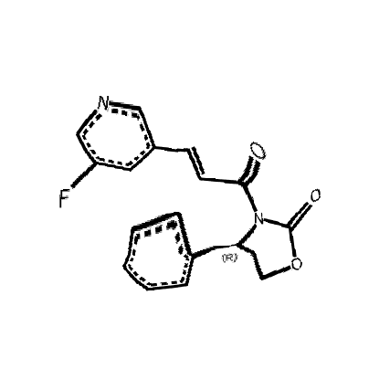 O=C(C=Cc1cncc(F)c1)N1C(=O)OC[C@H]1c1ccccc1